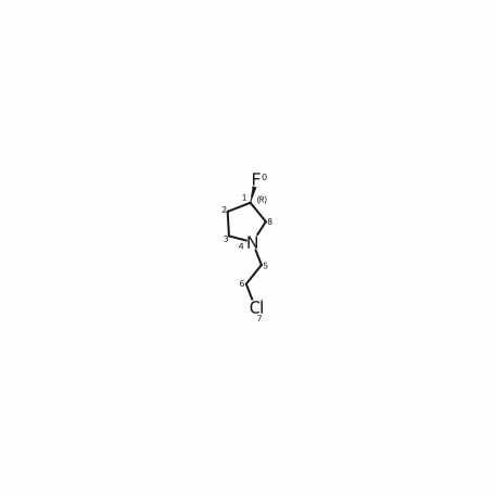 F[C@@H]1CCN(CCCl)C1